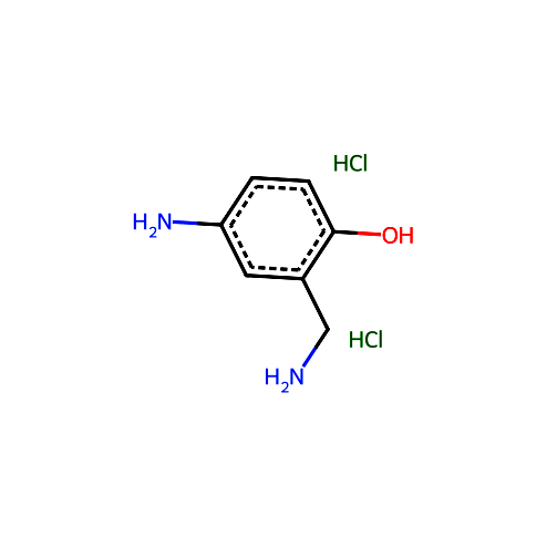 Cl.Cl.NCc1cc(N)ccc1O